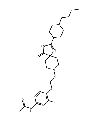 CCCCC1CCC(C2=NC3(CCN(OCCc4ccc(NC(C)=O)cc4C)CC3)C(=O)N2)CC1